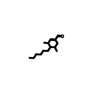 CCCCCCC1C(C)C=C(C=O)CC1C